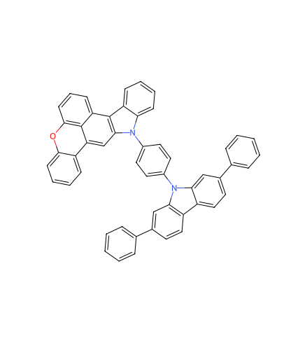 c1ccc(-c2ccc3c4ccc(-c5ccccc5)cc4n(-c4ccc(-n5c6ccccc6c6c7cccc8c7c(cc65)-c5ccccc5O8)cc4)c3c2)cc1